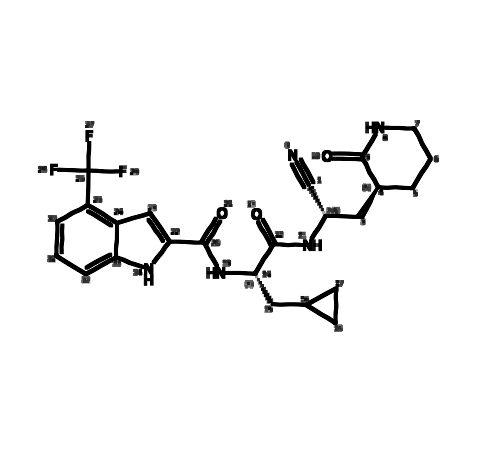 N#C[C@H](C[C@@H]1CCCNC1=O)NC(=O)[C@H](CC1CC1)NC(=O)c1cc2c(C(F)(F)F)cccc2[nH]1